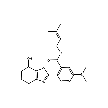 CC(C)=CCOC(=O)c1cc(N(C)C)ccc1-c1nc2c(s1)C(O)CCC2